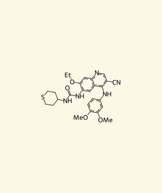 CCOc1cc2ncc(C#N)c(Nc3ccc(OC)c(OC)c3)c2cc1NC(=O)NC1CCSCC1